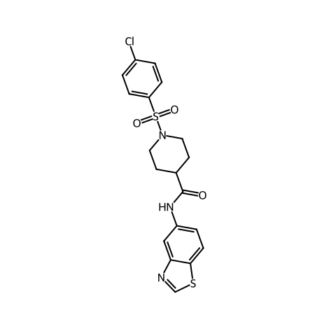 O=C(Nc1ccc2scnc2c1)C1CCN(S(=O)(=O)c2ccc(Cl)cc2)CC1